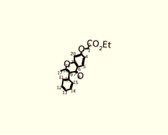 CCOC(=O)COc1ccc2c(=O)c(-c3ccccc3)c(C)oc2c1